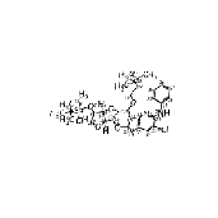 CC(C)(C)[Si](C)(C)OC1CO[C@H]2[C@@H]1OC[C@H]2Oc1nc2cc(Cl)c(Nc3ccccc3)nc2n1COCC[Si](C)(C)C